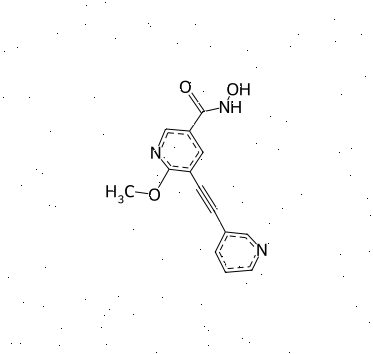 COc1ncc(C(=O)NO)cc1C#Cc1cccnc1